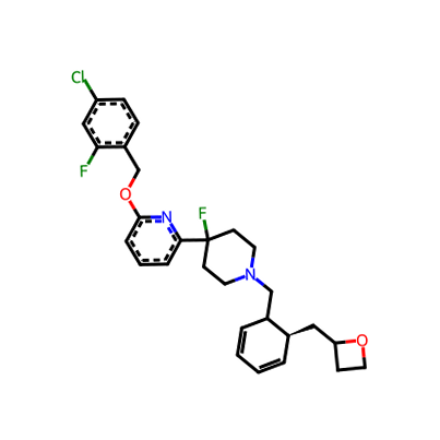 Fc1cc(Cl)ccc1COc1cccc(C2(F)CCN(CC3C=CC=C[C@@H]3CC3CCO3)CC2)n1